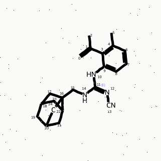 C=C(C)c1c(C)cccc1N/C(=N/C#N)NCC12CC3CC(CC1C3)C2